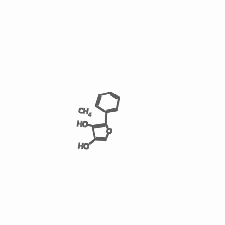 C.Oc1coc(-c2ccccc2)c1O